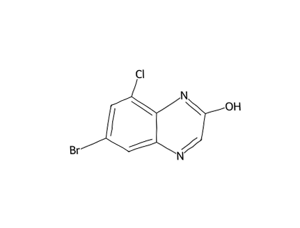 Oc1cnc2cc(Br)cc(Cl)c2n1